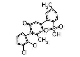 Cc1ccc(S(=O)(=O)O)c(-c2cc(=O)n(-c3cccc(Cl)c3Cl)c(C)n2)c1